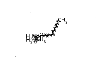 CCCCCCCC/C=C\CCCCCCCC(N)[SH](C)(C)=O